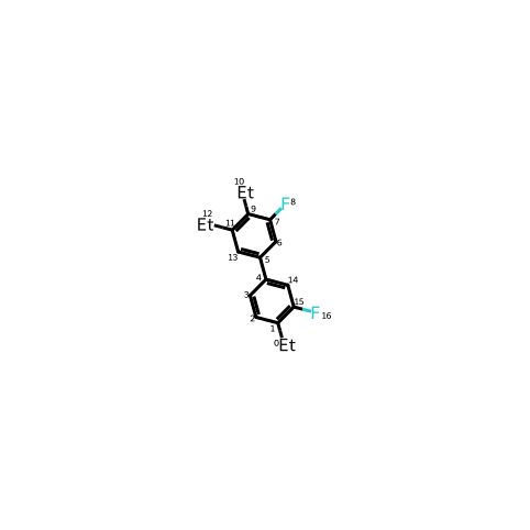 CCc1ccc(-c2cc(F)c(CC)c(CC)c2)cc1F